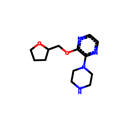 c1cnc(N2CCNCC2)c(OCC2CCCO2)n1